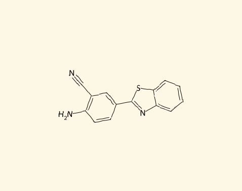 N#Cc1cc(-c2nc3ccccc3s2)ccc1N